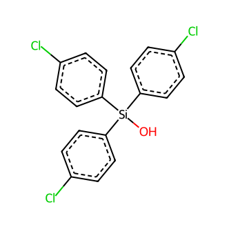 O[Si](c1ccc(Cl)cc1)(c1ccc(Cl)cc1)c1ccc(Cl)cc1